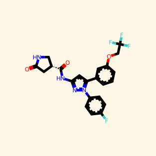 O=C1C[C@@H](C(=O)Nc2cc(-c3cccc(OCC(F)(F)F)c3)n(-c3ccc(F)cc3)n2)CN1